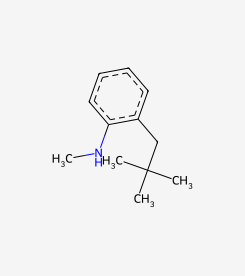 CNc1ccccc1CC(C)(C)C